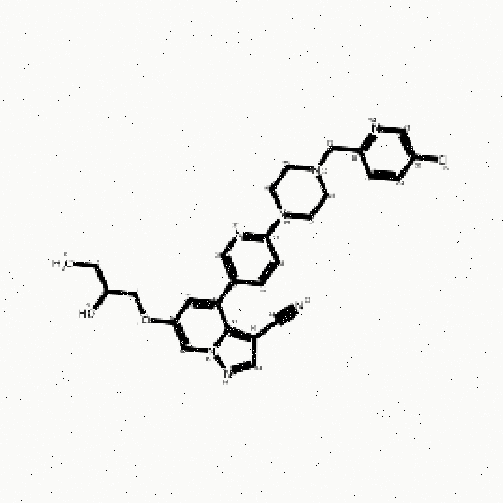 CCC(O)COc1cc(-c2ccc(N3CCN(Cc4ccc(Cl)cn4)CC3)nc2)c2c(C#N)cnn2c1